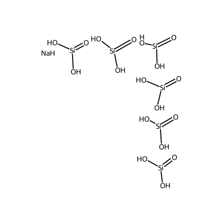 O=[Si](O)O.O=[Si](O)O.O=[Si](O)O.O=[Si](O)O.O=[Si](O)O.O=[Si](O)O.[NaH]